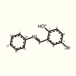 Oc1ccc(Br)cc1/C=N/c1ccccc1